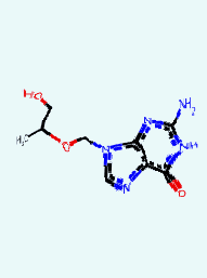 CC(CO)OCn1cnc2c(=O)[nH]c(N)nc21